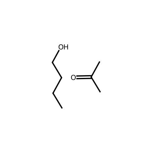 CC(C)=O.CCCCO